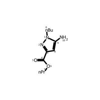 CCCCn1nc(C(=O)OCCC)cc1N